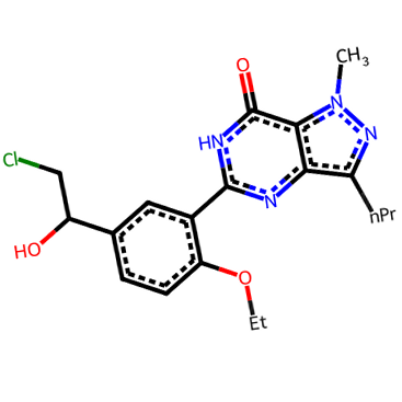 CCCc1nn(C)c2c(=O)[nH]c(-c3cc(C(O)CCl)ccc3OCC)nc12